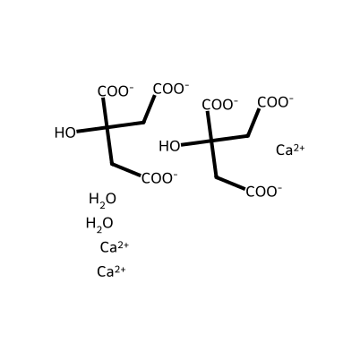 O.O.O=C([O-])CC(O)(CC(=O)[O-])C(=O)[O-].O=C([O-])CC(O)(CC(=O)[O-])C(=O)[O-].[Ca+2].[Ca+2].[Ca+2]